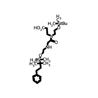 CC(C)(C)[Si](C)(C)OCCN(CCC(=O)O)C(=O)CNCCO[Si](C)(C)C(C)(C)CCc1ccccc1